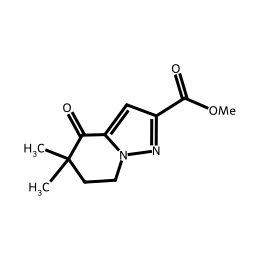 COC(=O)c1cc2n(n1)CCC(C)(C)C2=O